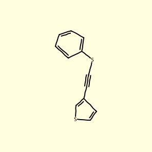 C(#Cc1ccsc1)Sc1ccccc1